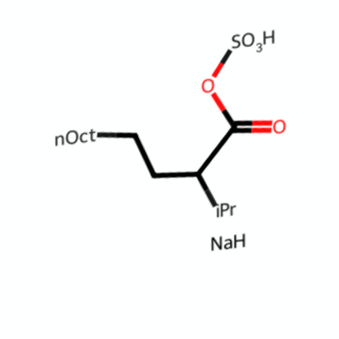 CCCCCCCCCCC(C(=O)OS(=O)(=O)O)C(C)C.[NaH]